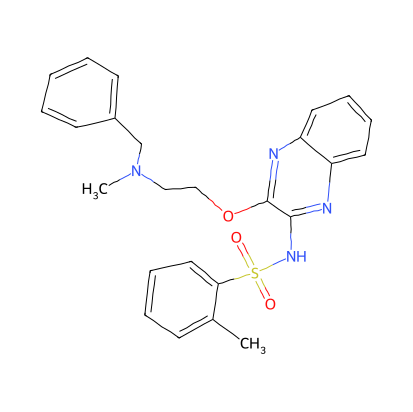 Cc1ccccc1S(=O)(=O)Nc1nc2ccccc2nc1OCCN(C)Cc1ccccc1